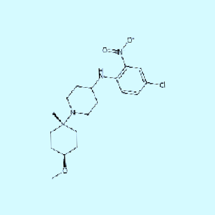 CO[C@H]1CC[C@](C)(N2CCC(Nc3ccc(Cl)cc3[N+](=O)[O-])CC2)CC1